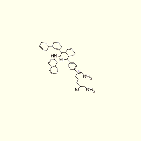 CCC(CN)CCC/C(=C\N)C1=CC=C(C(CC)C2CCC=CC2C(CNC2C=CC3C=CCCC3C2)C2=CC(C3CC=CCC3)CCC2)CC1